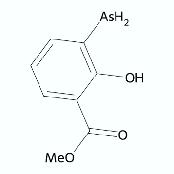 COC(=O)c1cccc([AsH2])c1O